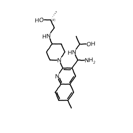 Cc1ccc2nc(N3CCC(NC[C@@H](C)O)CC3)c(C(N)NC(C)O)cc2c1